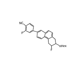 CCCCCCC1Cc2ccc3cc(-c4ccc(C#N)c(F)c4)ccc3c2CC1F